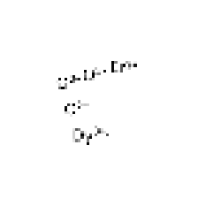 [Dy+3].[Er+3].[O-2].[O-2].[O-2]